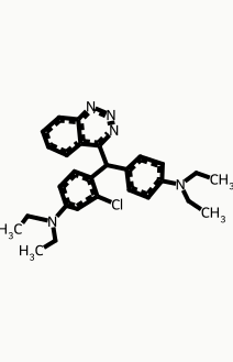 CCN(CC)c1ccc(C(c2ccc(N(CC)CC)cc2Cl)c2nnnc3ccccc23)cc1